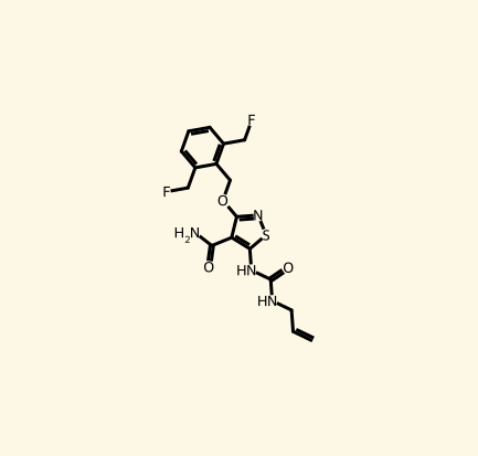 C=CCNC(=O)Nc1snc(OCc2c(CF)cccc2CF)c1C(N)=O